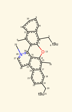 Cc1c2c(c(CC(C)(C)C)c3ccccc13)Oc1c(C)c3cc(CC(C)(C)C)ccc3c3cc[n+](C)c-2c13